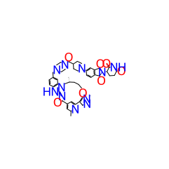 Cc1cc2cc(n1)-c1cnn(C)c1OCCC[C@@H](C)CN1/C(=N/C2=O)Nc2ccc(CN3CCN(C(=O)C4CCN(c5ccc6c(c5)C(=O)N(C5CCC(=O)NC5=O)C6=O)CC4)CC3)cc21